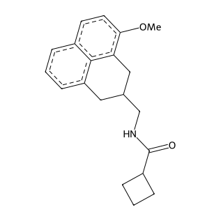 COc1ccc2cccc3c2c1CC(CNC(=O)C1CCC1)C3